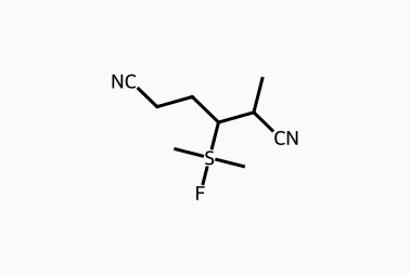 CC(C#N)C(CCC#N)S(C)(C)F